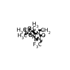 C=CN1C(=O)N(CC(F)(F)F)N=N/C1=C(/C)S(=O)(=O)N(C)C